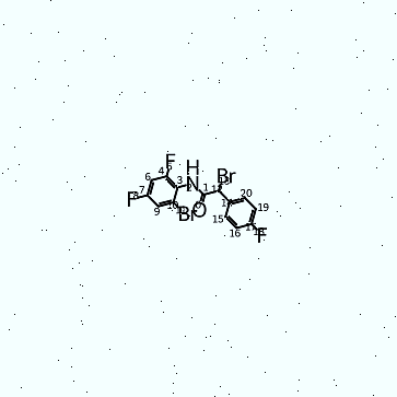 O=C(Nc1c(F)cc(F)cc1Br)C(Br)c1ccc(F)cc1